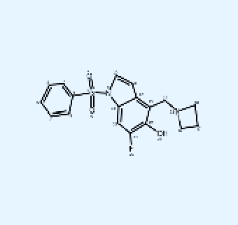 O=S(=O)(c1ccccc1)n1ccc2c(CN3CCC3)c(O)c(F)cc21